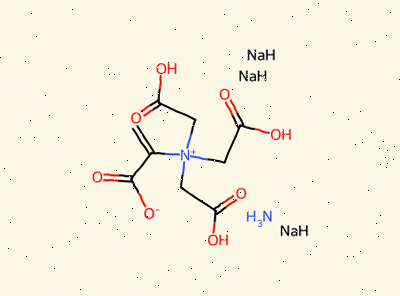 C=C(C(=O)[O-])[N+](CC(=O)O)(CC(=O)O)CC(=O)O.N.[NaH].[NaH].[NaH]